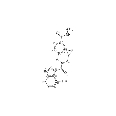 CNC(=O)c1ccc(CN(CC2CC2)C(=O)c2c[nH]c3cccc(F)c23)cc1